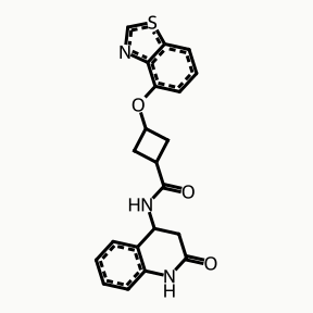 O=C1CC(NC(=O)C2CC(Oc3cccc4scnc34)C2)c2ccccc2N1